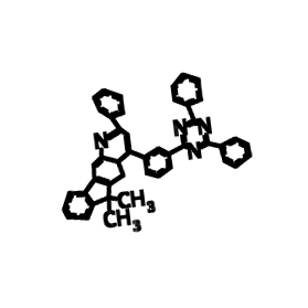 CC1(C)C2=C(C=C3N=C(c4ccccc4)C=C(c4cccc(-c5nc(-c6ccccc6)nc(-c6ccccc6)n5)c4)C3C2)c2ccccc21